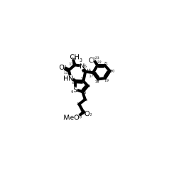 COC(=O)CCc1cc2c(s1)NC(=O)C(C)N=C2c1ccccc1Cl